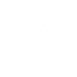 Cc1[nH]c2c(-c3c(OCC4CC4)ccc4c3OCO4)ncnc2c1C(=O)N[C@H]1CC[C@@H](N)CC1